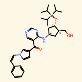 CC(C)[Si](O[C@H]1C[C@H](Nc2ncncc2C(=O)c2ccn(/C=C\c3ccccc3)c2)C[C@@H]1CO)(C(C)C)C(C)C